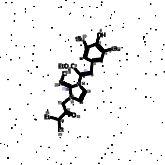 CCOC(=O)/C(=C\c1cc(C(C)(C)C)c(O)c(C(C)(C)C)c1)n1ccn(CC(=O)C(CC)CC)/c1=N/Cl